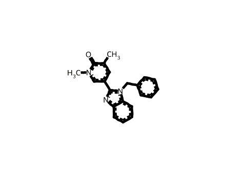 Cc1cc(-c2nc3ccccc3n2Cc2ccccc2)cn(C)c1=O